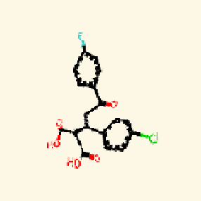 O=C(CC(c1ccc(Cl)cc1)C(C(=O)O)C(=O)O)c1ccc(F)cc1